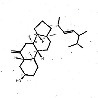 CC(C)C(C)/C=C/C(C)[C@H]1CC[C@H]2[C@@H]3CC(=O)[C@H]4C[C@H](O)CC[C@]4(C)[C@H]3CC[C@]12C